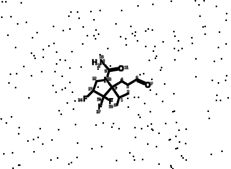 CC(C)C1(CCC=O)N(C(N)=O)CC(F)C1(F)F